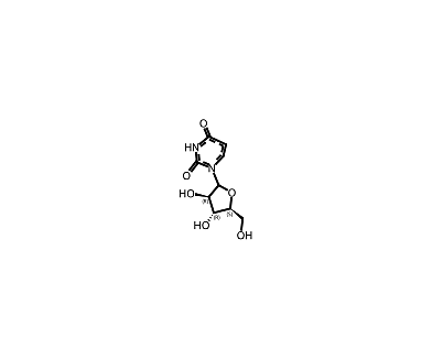 O=c1ccn(C2O[C@@H](CO)[C@H](O)[C@H]2O)c(=O)[nH]1